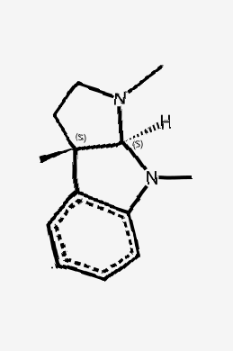 CN1CC[C@@]2(C)c3c[c]ccc3N(C)[C@H]12